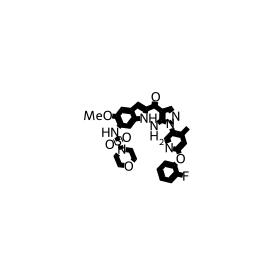 COc1cc2cc(C(=O)c3cnn(-c4cnc(Oc5ccccc5F)cc4C)c3N)[nH]c2cc1NS(=O)(=O)N1CCOCC1